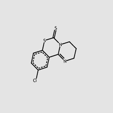 S=C1Sc2ccc(Cl)cc2C2=NCCCN12